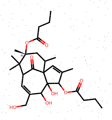 CCCC(=O)OC1C(C)=CC23C(=O)C(C=C(CO)C(O)C12O)C(C)(C)[C@](C)(OC(=O)CCC)CC3C